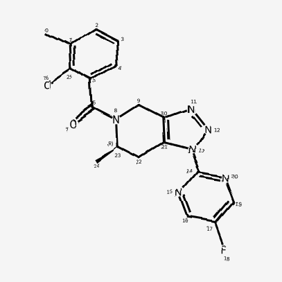 Cc1cccc(C(=O)N2Cc3nnn(-c4ncc(F)cn4)c3C[C@H]2C)c1Cl